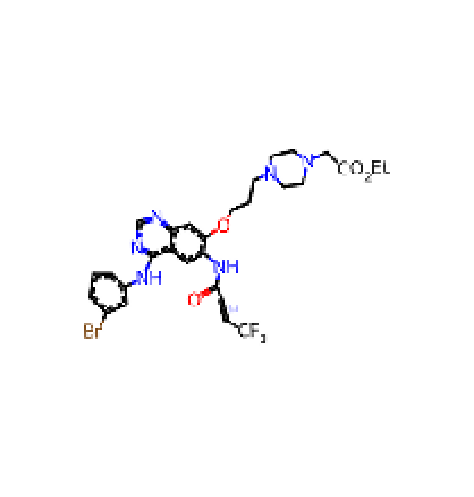 CCOC(=O)CN1CCN(CCCOc2cc3ncnc(Nc4cccc(Br)c4)c3cc2NC(=O)/C=C/C(F)(F)F)CC1